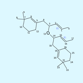 C/C=C/C(CC1=CC(C)(C)CCC1)OC(/C=C/C)CC1=CC(C)(C)CCC1